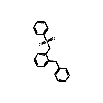 O=S(=O)(Cc1ccccc1Cc1ccccc1)c1ccccc1